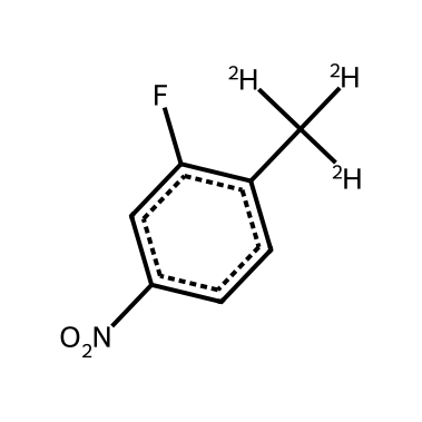 [2H]C([2H])([2H])c1ccc([N+](=O)[O-])cc1F